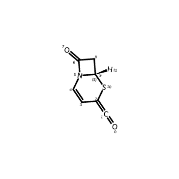 O=C=C1C=CN2C(=O)C[C@@H]2S1